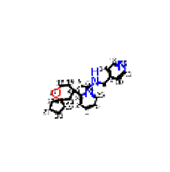 c1ccc([C@]2(CCNCc3ccncc3)CCOC3(CCCC3)C2)nc1